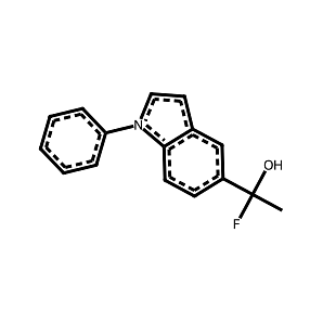 CC(O)(F)c1ccc2c(ccn2-c2ccccc2)c1